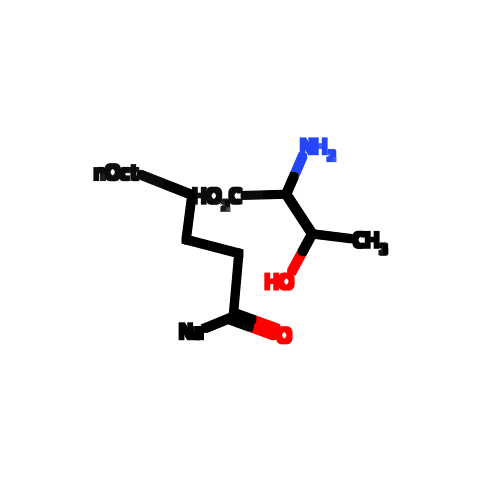 CC(O)C(N)C(=O)O.CCCCCCCCCCC[C](=O)[Na]